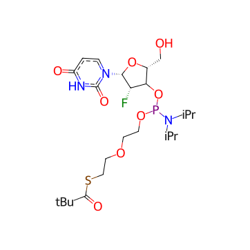 CC(C)N(C(C)C)P(OCCOCCSC(=O)C(C)(C)C)OC1[C@@H](CO)O[C@@H](n2ccc(=O)[nH]c2=O)[C@H]1F